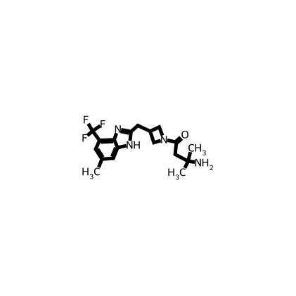 Cc1cc(C(F)(F)F)c2nc(CC3CN(C(=O)CC(C)(C)N)C3)[nH]c2c1